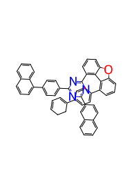 C1=CCCC(c2ccc(-c3cccc4oc5cccc(-c6nc(-c7ccc(-c8cccc9ccccc89)cc7)nc(-c7ccc8ccccc8c7)n6)c5c34)cc2)=C1